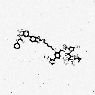 Cc1ncc(-c2ccc3nc(NCCCCCOc4cc(-c5scnc5C)ccc4CNC(=O)[C@@H]4C[C@@H](O)CN4C(=O)[C@@H](NC(=O)C4(F)CC4)C(C)(C)C)sc3c2)cc1NC(=O)OC1CCCCC1